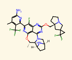 Cc1cc(N)nc(-c2nc3c4c(nc(OC[C@@]56CCCN5CC5(CC5(F)F)C6)nc4c2F)N2C[C@H]4CC[C@H](N4)C2[C@H](C)O3)c1C(F)(F)F